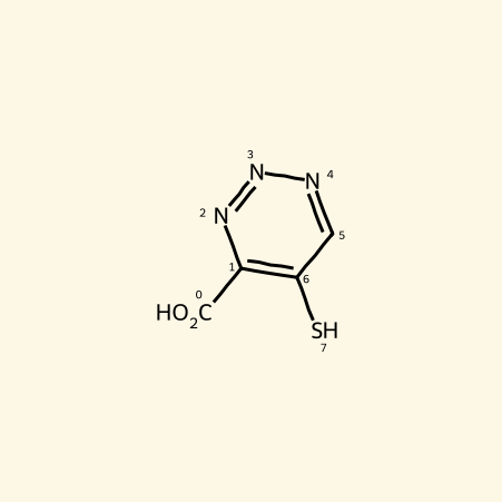 O=C(O)c1nnncc1S